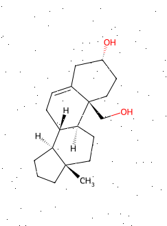 C[C@@]12CCC[C@H]1[C@@H]1CC=C3C[C@H](O)CC[C@]3(CO)[C@H]1CC2